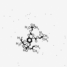 CCC(C)N[C@@](Cc1ccc(OC(=O)OCC(C)(C)C)c(OC(=O)OCC(C)(C)C)c1)(OC(=O)C(C)(C)CC)C(=O)O